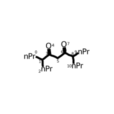 CCCC(CCC)C(=O)CC(=O)C(CCC)CCC